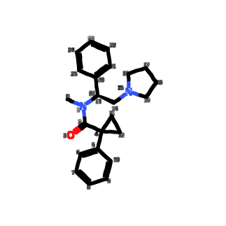 CN(C(=O)C1(c2ccccc2)CC1)[C@H](CN1CCCC1)c1ccccc1